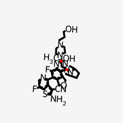 C[C@@H](O)CN1CC2CCC(C1)N2c1nc(N2CCN(CCCO)CC2)nc2c(F)c(-c3ncc(F)c4sc(N)c(C#N)c34)c3c(c12)COC3